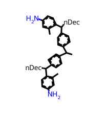 CCCCCCCCCCC(c1ccc(C(C)c2ccc(C(CCCCCCCCCC)c3ccc(N)cc3C)cc2)cc1)c1ccc(N)cc1C